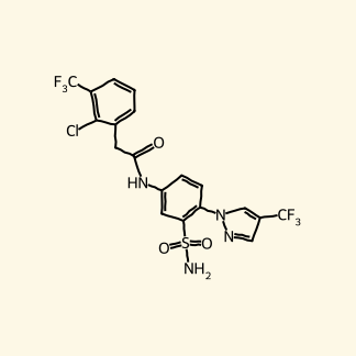 NS(=O)(=O)c1cc(NC(=O)Cc2cccc(C(F)(F)F)c2Cl)ccc1-n1cc(C(F)(F)F)cn1